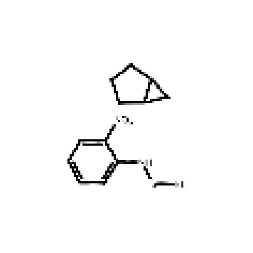 C1CC2CC2C1.CCSNc1ccccc1[N+](=O)[O-]